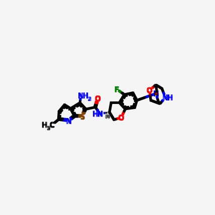 Cc1ccc2c(N)c(C(=O)N[C@H]3COc4cc(N5CC6COC(CN6)C5)cc(F)c4C3)sc2n1